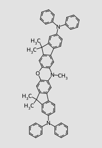 CN1c2cc3c(cc2Oc2cc4c(cc21)-c1ccc(N(c2ccccc2)c2ccccc2)cc1C4(C)C)C(C)(C)c1cc(N(c2ccccc2)c2ccccc2)ccc1-3